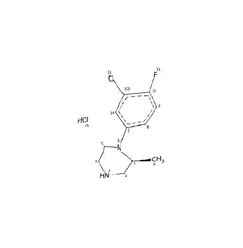 C[C@H]1CNCCN1c1ccc(F)c(Cl)c1.Cl